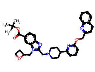 CC(C)(C)OC(=O)c1ccc2nc(CN3CCC(c4cccc(OCc5ccc6ccccc6n5)n4)CC3)n(CC3CCO3)c2c1